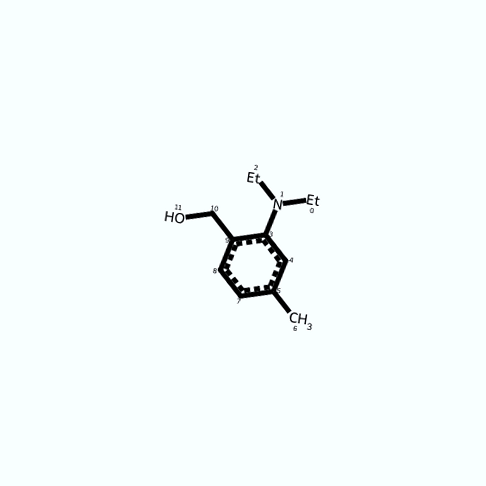 CCN(CC)c1cc(C)ccc1CO